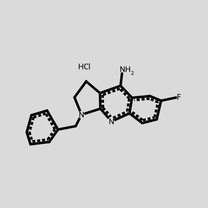 Cl.Nc1c2c(nc3ccc(F)cc13)N(Cc1ccccc1)CC2